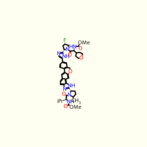 COC(=O)N[C@H](C(=O)N1[C@@H](C)CC[C@H]1c1nc2ccc3cc4c(cc3c2[nH]1)OCc1cc(-c2cnc([C@@H]3C[C@H](F)CN3C(=O)[C@@H](NC(=O)OC)C3CCOCC3)[nH]2)ccc1-4)C(C)C